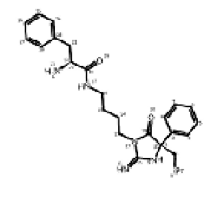 CC(C)C[C@@]1(c2ccccc2)NC(=N)N(CCCCNC(=O)[C@@H](N)Cc2ccccc2)C1=O